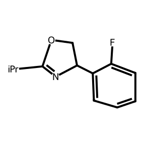 CC(C)C1=NC(c2ccccc2F)CO1